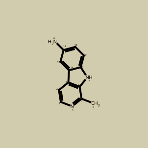 Cc1nccc2c1[nH]c1ccc(N)cc12